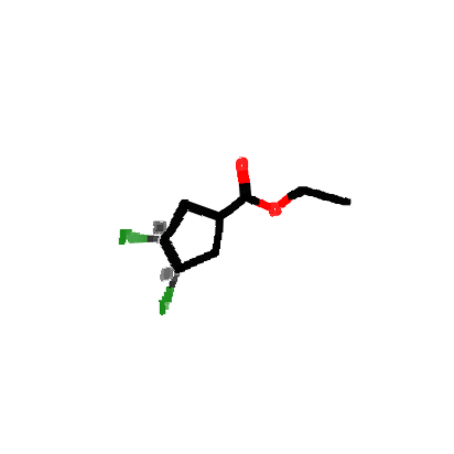 CCOC(=O)C1C[C@@H](F)[C@@H](F)C1